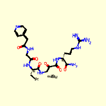 CC[C@H](C)C(NC(=O)[C@H](CC(C)C)NC(=O)CNC(=O)Cc1ccncc1)C(=O)C(=O)N[C@H](CCCNC(=N)N)C(N)=O